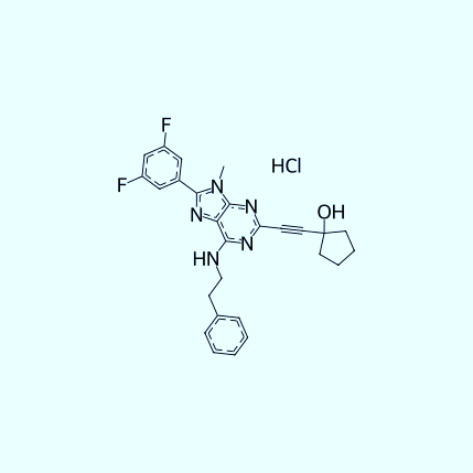 Cl.Cn1c(-c2cc(F)cc(F)c2)nc2c(NCCc3ccccc3)nc(C#CC3(O)CCCC3)nc21